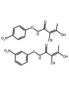 C/C(O)=C(/C#N)C(=O)NOc1ccc([N+](=O)[O-])cc1.C/C(O)=C(/C#N)C(=O)NOc1cccc([N+](=O)[O-])c1